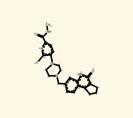 CNC(=O)c1ccc(N2CCN(Cc3ccc4c5c(c(=O)[nH]c4c3)CCC5)CC2)c(F)n1